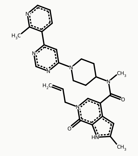 C=CCn1cc(C(=O)N(C)C2CCN(c3cc(-c4cccnc4C)ncn3)CC2)c2cc(C)[nH]c2c1=O